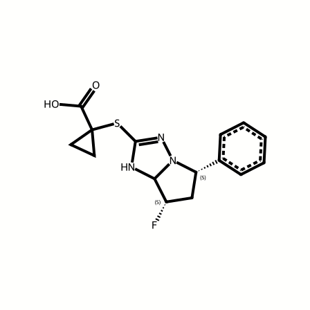 O=C(O)C1(SC2=NN3C(N2)[C@@H](F)C[C@H]3c2ccccc2)CC1